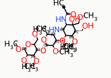 C#CC(=O)NC1[C@@H](N[C@H]2C(C)O[C@@H](O[C@H]3C(COC)O[C@@H](OC)C(OC)[C@@H]3OC)C(OC)[C@@H]2OC)C(OC)[C@H](OC)[C@@H](CO)C1(O)COC